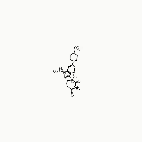 Cl.Cn1nc([C@@]2(C)CCC(=O)NC2=O)c2ccc(N3CCC(C(=O)O)CC3)cc21